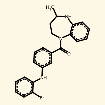 CC1CCN(C(=O)c2cccc(Nc3ccccc3Br)c2)c2ccccc2N1